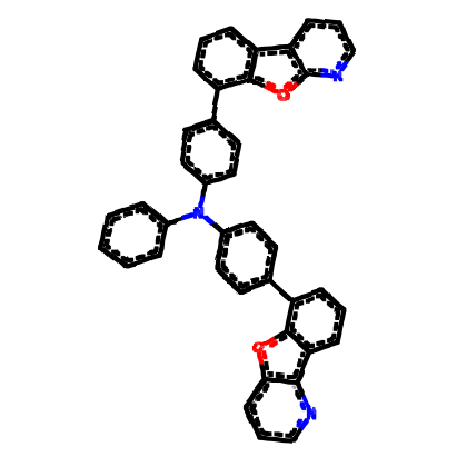 c1ccc(N(c2ccc(-c3cccc4c3oc3ncccc34)cc2)c2ccc(-c3cccc4c3oc3cccnc34)cc2)cc1